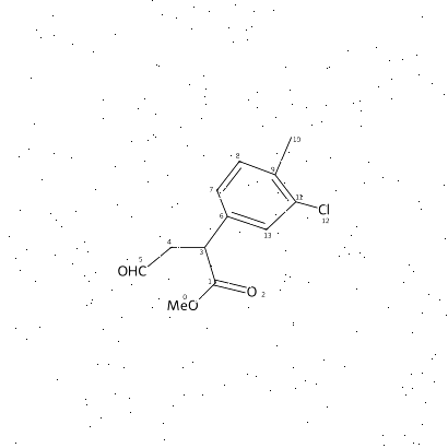 COC(=O)C(CC=O)c1ccc(C)c(Cl)c1